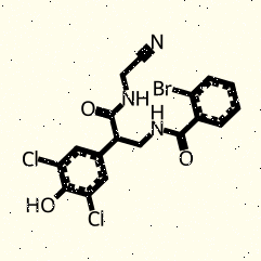 N#CCNC(=O)C(CNC(=O)c1ccccc1Br)c1cc(Cl)c(O)c(Cl)c1